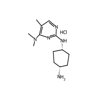 Cc1cnc(N[C@H]2CC[C@@H](N)CC2)nc1N(C)C.Cl